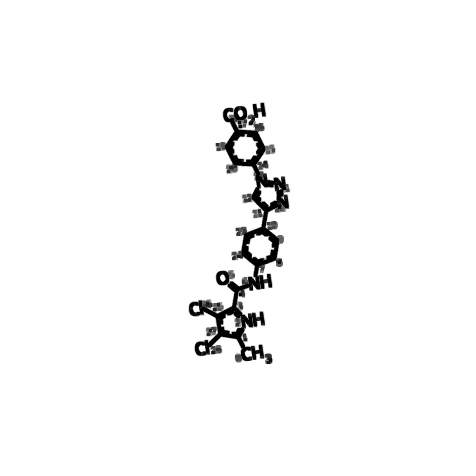 Cc1[nH]c(C(=O)Nc2ccc(-c3cn(-c4ccc(C(=O)O)cc4)nn3)cc2)c(Cl)c1Cl